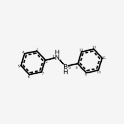 B(Nc1ccccc1)c1ccccc1